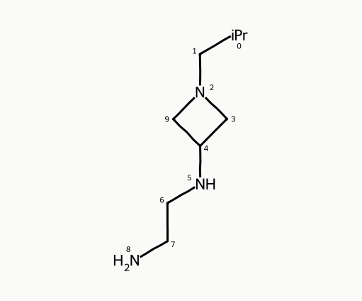 CC(C)CN1CC(NCCN)C1